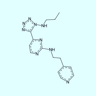 CCCNn1nnnc1-c1ccnc(NCCc2ccncc2)n1